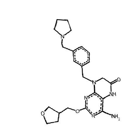 Nc1nc(OCC2CCOC2)nc2c1NC(=O)CN2Cc1cccc(CN2CCCC2)c1